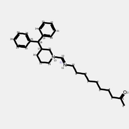 CC(=O)CCCCCCCC/N=C/N1CCCC(C(c2ccccc2)c2ccccc2)C1